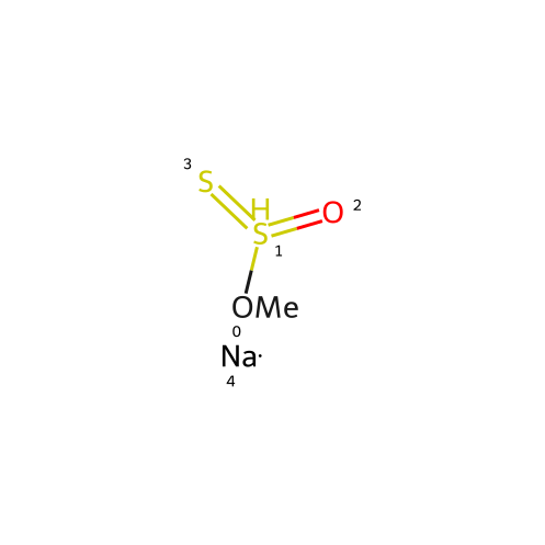 CO[SH](=O)=S.[Na]